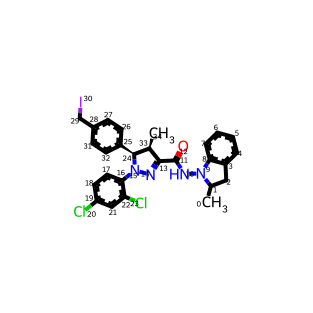 CC1Cc2ccccc2N1NC(=O)C1=NN(c2ccc(Cl)cc2Cl)[C@@H](c2ccc(CI)cc2)[C@H]1C